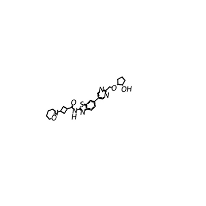 O=C(Nc1nc2ccc(-c3cnc(CO[C@H]4CCC[C@@H]4O)nc3)cc2s1)C1CC(N2CCCCO2)C1